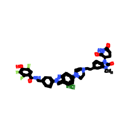 Cl.Cn1c(=O)n([C@@H]2CCC(=O)NC2=O)c2ccc(CCN3CCN(c4ccc5cn(C6CCC(CNC(=O)c7cc(F)c(O)c(F)c7F)CC6)nc5c4)CC3)cc21